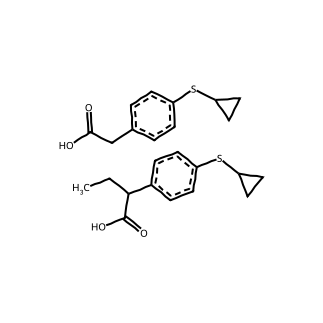 CCC(C(=O)O)c1ccc(SC2CC2)cc1.O=C(O)Cc1ccc(SC2CC2)cc1